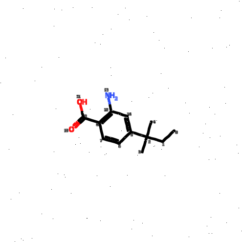 CCC(C)(C)c1ccc(C(=O)O)c(N)c1